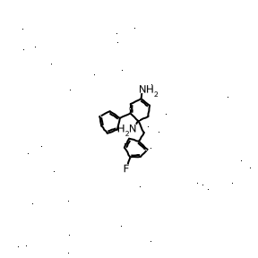 NC1=CCC(N)(Cc2ccc(F)cc2)C(c2ccccc2)=C1